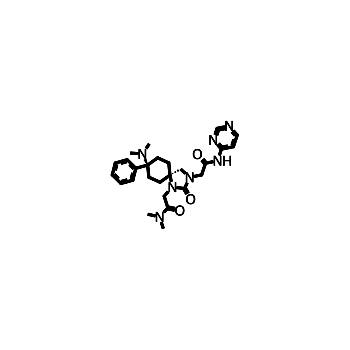 CN(C)C(=O)CN1C(=O)N(CC(=O)Nc2ccncn2)C[C@]12CC[C@](c1ccccc1)(N(C)C)CC2